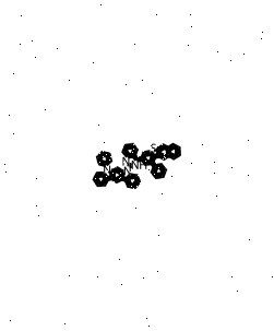 c1ccc(-c2cc(C3NC(n4c5ccccc5c5cc6c7ccccc7n(-c7ccccc7)c6cc54)=Nc4ccccc43)cc3sc4cc5ccccc5cc4c23)cc1